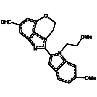 COCCn1c(-c2nc3cc(C=O)cc4c3n2CCO4)cc2ccc(OC)cc21